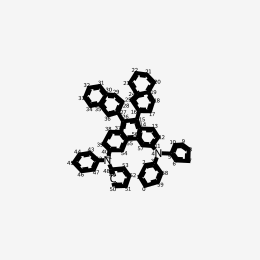 c1ccc(N(c2ccccc2)c2ccc3c(-c4ccc5ccccc5c4)c(-c4ccc5ccccc5c4)c4ccc(N(c5ccccc5)c5ccccc5)cc4c3c2)cc1